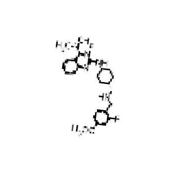 COc1ccc(CNC[C@H]2CC[C@@H](Nc3nc(N(C)C)c4ccccc4n3)CC2)c(F)c1